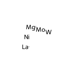 [La].[Mg].[Mo].[Ni].[W]